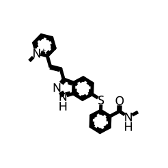 CNC(=O)c1ccccc1Sc1ccc2c(/C=C/c3cccc[n+]3C)n[nH]c2c1